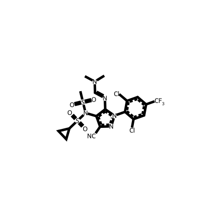 CN(C)C=Nc1c(N(S(C)(=O)=O)S(=O)(=O)C2CC2)c(C#N)nn1-c1c(Cl)cc(C(F)(F)F)cc1Cl